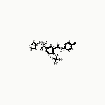 [2H]C([2H])([2H])Oc1ccc(S(=O)(=O)N[C@H]2CCOC2)cc1C(=O)Nc1ccc(F)cn1